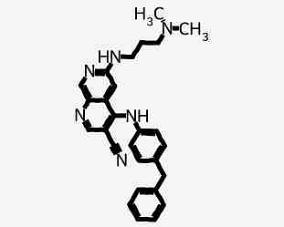 CN(C)CCCNc1cc2c(Nc3ccc(Cc4ccccc4)cc3)c(C#N)cnc2cn1